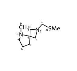 CSCN1CC2(CCCN2C)C1